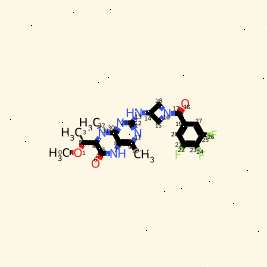 CO[C@H](C)C1C(=O)Nc2c(C)nc(NC3CN(C(=O)c4cc(F)c(F)c(F)c4)C3)nc2N1C